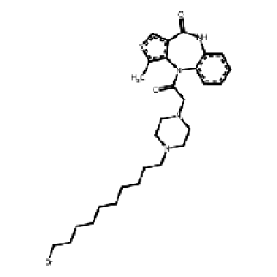 Cc1scc2c1N(C(=O)CN1CCN(CCCCCCCCCCBr)CC1)c1ccccc1NC2=O